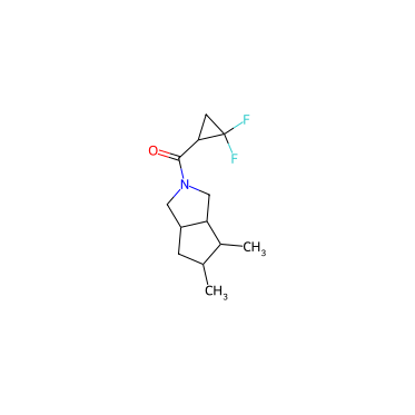 CC1CC2CN(C(=O)C3CC3(F)F)CC2C1C